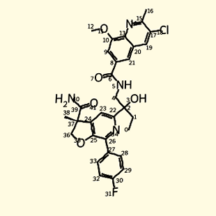 CCC(O)(CNC(=O)c1cc(OC)c2nc(C)c(Cl)cc2c1)c1cc2c(c(-c3ccc(F)cc3)n1)OC[C@]2(C)C(N)=O